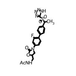 CC(=O)NCC1CN(c2ccc(-c3ccc(C(C)S(=O)(=O)c4nnn[nH]4)cc3)c(F)c2)C(=O)O1